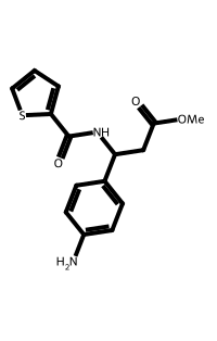 COC(=O)CC(NC(=O)c1cccs1)c1ccc(N)cc1